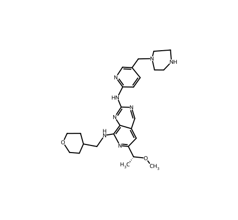 CO[C@H](C)c1cc2cnc(Nc3ccc(CN4CCNCC4)cn3)nc2c(NCC2CCOCC2)n1